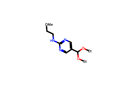 CCOC(OCC)c1cnc(NCCOC)nc1